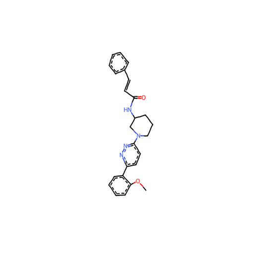 COc1ccccc1-c1ccc(N2CCCC(NC(=O)C=Cc3ccccc3)C2)nn1